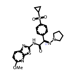 COc1ccc2nc(NC(=O)/C(=N/N3CCCC3)c3ccc(S(=O)(=O)C4CC4)cc3)sc2n1